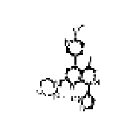 COc1ccc(-c2cc(N3CCOC[C@H]3C)nc3c(-c4ccn[nH]4)ncc(C)c23)cn1